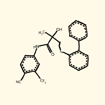 CC(O)(CSc1ccccc1-c1ccccc1)C(=O)Nc1ccc(C#N)c(C(F)(F)F)c1